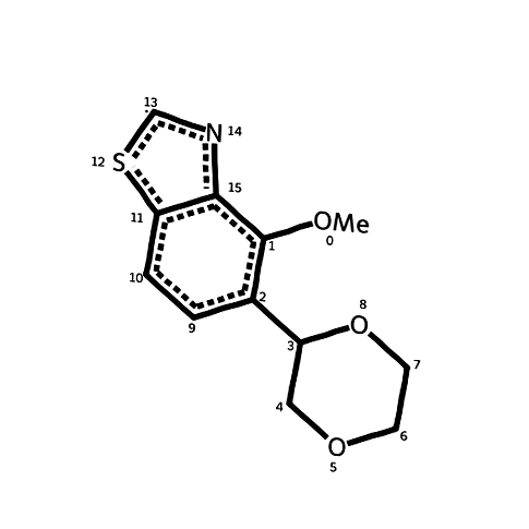 COc1c(C2COCCO2)ccc2s[c]nc12